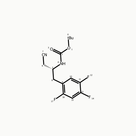 CC(C)(C)OC(=O)N[C@@H](CC#N)Cc1cc(F)c(F)cc1F